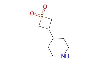 O=S1(=O)CC(C2CCNCC2)C1